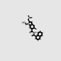 Cc1cc2cc(CN(C)C)n(CO)c2cc1C(=O)NC(C)c1cccc2ccccc12